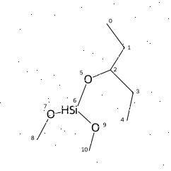 CCC(CC)O[SiH](OC)OC